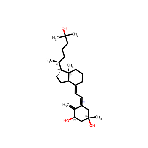 C=C1/C(=C\C=C2CCC[C@@]3(C)C2CC[C@@H]3[C@@H](C)CCCC(C)(C)O)C[C@](C)(O)C[C@H]1O